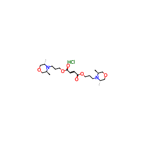 C[C@H]1COC[C@H](C)N1CCCOC(=O)/C=C/C(=O)OCCCN1[C@@H](C)COC[C@@H]1C.Cl